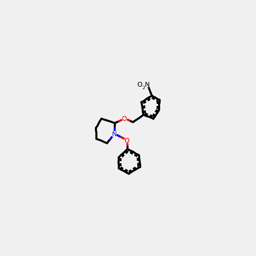 O=[N+]([O-])c1cccc(COC2CCCCN2Oc2ccccc2)c1